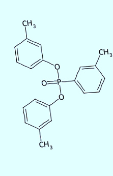 Cc1cccc(OP(=O)(Oc2cccc(C)c2)c2cccc(C)c2)c1